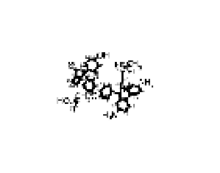 CC(=O)O.CC(=O)Oc1ccc2c(c1)Oc1cc(O)ccc1C21OC(=O)c2ccccc21.CC[N+](C)(CC)CCC[n+]1c(-c2ccccc2)c2cc(N)ccc2c2ccc(N)cc21.[I-].[I-]